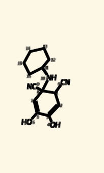 N#CC1C=C(O)C(O)=CC1(C#N)NC1CCCCC1